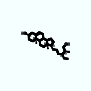 CC[C@@H](CCC[C@H]1CCC2C3CC=C4C[C@@H](O)CC[C@]4(C)C3CC[C@@]21C)[C@H](C)CO